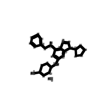 Cl.OC1CCC(Nc2nc(NCc3ccccc3)c3ncn(C4CCCC4)c3n2)CC1